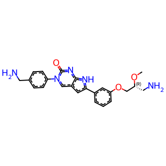 CO[C@H](CN)COc1cccc(-c2cc3cn(-c4ccc(CN)cc4)c(=O)nc3[nH]2)c1